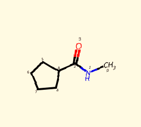 CNC(=O)C1C[CH]CC1